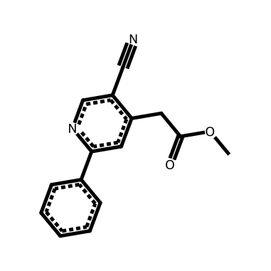 COC(=O)Cc1cc(-c2ccccc2)ncc1C#N